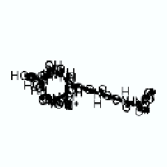 C[C@@H](O)[C@@H]1NC(=O)[C@H]([C@H](O)[C@@H](O)c2ccc(O)cc2)NC(=O)[C@@H]2C[C@@H](O)CN2C(=O)[C@H]([C@@H](C)O)NC(=O)[C@@H](NC(=O)COCCOCCNC(=O)COCCOCCNC(=O)CC[C@H](NC(=O)CC(=O)OC(C)(C)C)C(=O)OC(C)(C)C)C[C@@H](O)[C@@H](OCC[N+](C)(C)C)NC(=O)[C@@H]2[C@@H](O)[C@@H](C)CN2C1=O